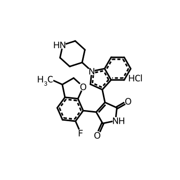 CC1COc2c1ccc(F)c2C1=C(c2cn(C3CCNCC3)c3ccccc23)C(=O)NC1=O.Cl